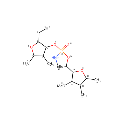 [2H]CC1OC(C)C(C)C1OP(=O)(NCCCC)OCC1OC(C)C(C)C1OC